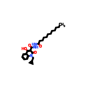 CCCCCCCCCCCC(=O)NNC(=O)c1c(O)c2ccccc2n(CC2CC2)c1=O